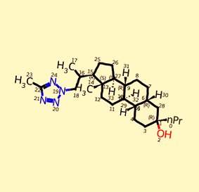 CCC[C@@]1(O)CC[C@H]2[C@H](CC[C@@H]3[C@@H]2CC[C@]2(C)[C@@H](C(C)Cn4nnc(C)n4)CC[C@@H]32)C1